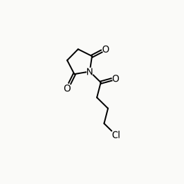 O=C(CCCCl)N1C(=O)CCC1=O